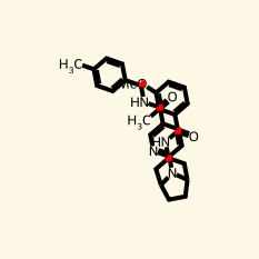 COc1cccc(C(=O)NC2CC3CCC(C2)N3c2ccc(C(=O)NCc3ccc(C)cc3)cn2)c1C